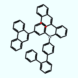 c1ccc(-c2ccccc2-c2ccc(N(c3cccc(-c4cc5ccccc5c5ccccc45)c3)c3ccccc3-c3ccc4ccccc4c3)cc2)cc1